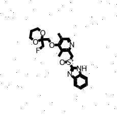 Cc1cnc(C[S+]([O-])c2nc3ccccc3[nH]2)c(C)c1OCC1(CF)OCCCO1